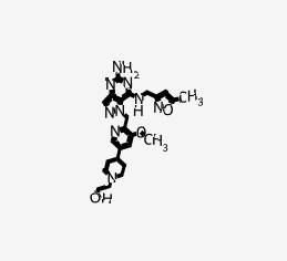 COc1cc(C2CCN(CCO)CC2)cnc1Cn1ncc2nc(N)nc(NCc3cc(C)on3)c21